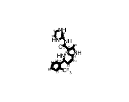 CC1=C(C(=O)NC2=CNCCN2)N2NC(c3ccccc3C(F)(F)F)C=CC2N1